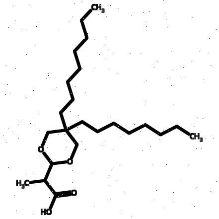 CCCCCCCCC1(CCCCCCCC)COC(C(C)C(=O)O)OC1